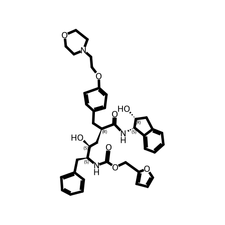 O=C(N[C@@H](Cc1ccccc1)[C@@H](O)C[C@@H](Cc1ccc(OCCN2CCOCC2)cc1)C(=O)N[C@H]1c2ccccc2C[C@H]1O)OCc1ccco1